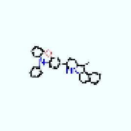 C=C(/C=C\C1=C(C)C2=c3ccccc3=CCC2N1)c1ccc2c(c1)Oc1ccccc1N2c1ccccc1